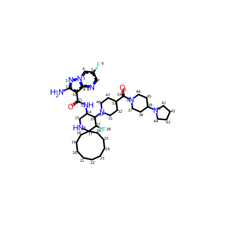 Nc1nn2cc(F)cnc2c1C(=O)NC1CNC2(CCCCCCCCC2)C(F)C1N1CCC(C(=O)N2CCC(N3CCCC3)CC2)CC1